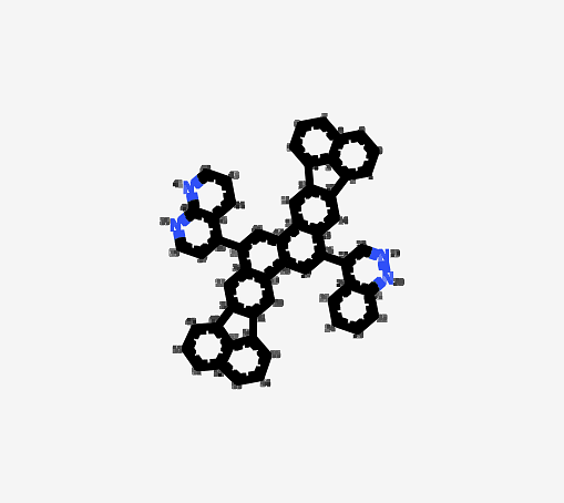 c1cc2c3c(cccc3c1)-c1cc3c(cc1-2)c(-c1cnnc2ccccc12)cc1c2cc4c(cc2c(-c2ccnc5ncccc25)cc31)-c1cccc2cccc-4c12